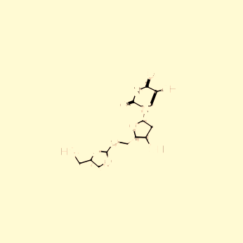 Cc1cn([C@H]2CC(O)[C@@H](COC3OCC(CS)O3)O2)c(=O)[nH]c1=O